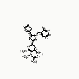 CN(C(=O)O)c1c(N)nc(-c2nc(-c3nccs3)n(Cc3ccccc3F)n2)nc1N